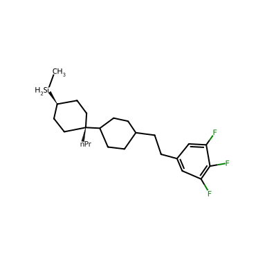 CCC[C@]1(C2CCC(CCc3cc(F)c(F)c(F)c3)CC2)CC[C@H]([SiH2]C)CC1